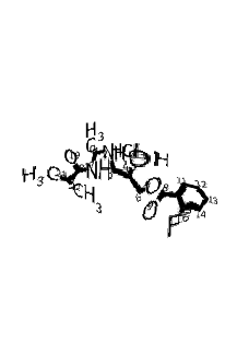 CC(NCC(O)COC(=O)c1ccccc1F)NC(=O)C(C)C.Cl